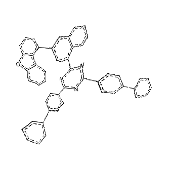 c1ccc(-c2ccc(-c3nc(-c4ccc(-c5ccccc5)cc4)nc(-c4cc(-c5cccc6oc7ccccc7c56)cc5ccccc45)n3)cc2)cc1